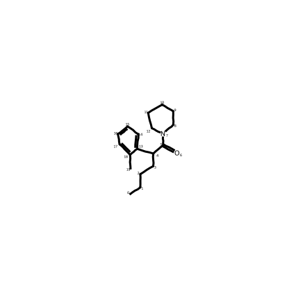 CCCCC(C(=O)N1CCCCC1)c1ccccc1C